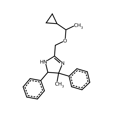 CC(OCC1=NC(C)(c2ccccc2)C(c2ccccc2)N1)C1CC1